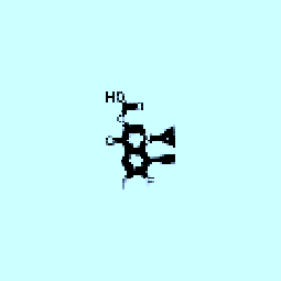 C#Cc1c(F)c(F)cc2c(=O)c(OC(=O)O)cn(C3CC3)c12